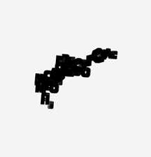 CCCCC1CN(CCC2CCN(C(C)=O)CC2)C(=O)OC12CCN(C1(C)CCN(C(=O)c3c(C)ncnc3C)CC1)CC2